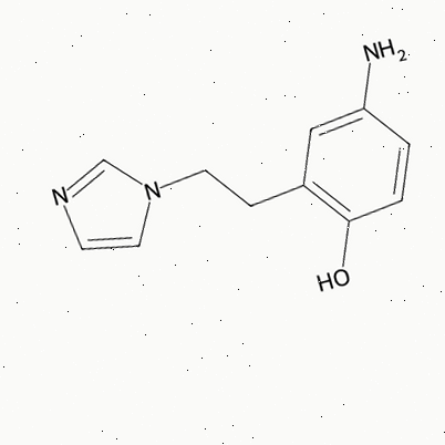 Nc1ccc(O)c(CCn2ccnc2)c1